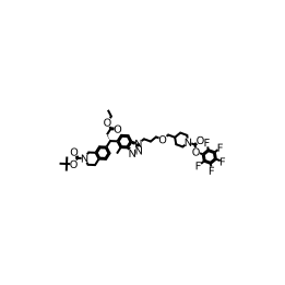 CCOC(=O)C[C@@H](c1ccc2c(c1)CN(C(=O)OC(C)(C)C)CC2)c1ccc2c(nnn2CCCOCC2CCN(C(=O)Oc3c(F)c(F)c(F)c(F)c3F)CC2)c1C